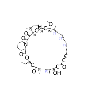 CC[C@@H]1CC(=O)[C@H](C)/C=C(\C)[C@@H](O)CC(=O)CCC/C=C/C=C/C=C(\C)[C@@H](OC)C[C@@H]2CC[C@@H](C)[C@@](C)(O2)C(=O)C(=O)N2CCCCC2C(=O)O1